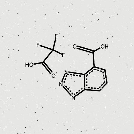 O=C(O)C(F)(F)F.O=C(O)c1cccc2nnsc12